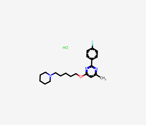 Cc1cc(OCCCCCN2CCCCC2)nc(-c2ccc(F)cc2)n1.Cl